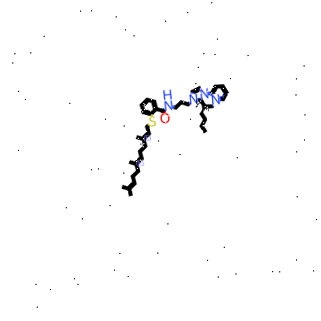 CCCC[C@@H]1C[n+]2ccccc2N2C=CN(CCCNC(=O)c3ccccc3SC/C=C(\C)CC/C=C(\C)CCC=C(C)C)[C@]12C